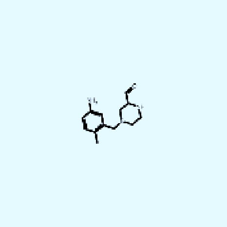 Cc1ccc(N)cc1CN1CCNC(C=O)C1